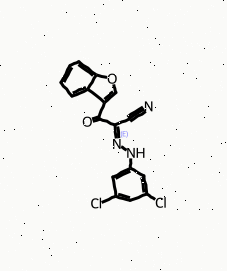 N#C/C(=N\Nc1cc(Cl)cc(Cl)c1)C(=O)c1coc2ccccc12